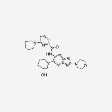 O=C(Nc1cc2sc(N3CCOCC3)nc2nc1N1CCC[C@@H](O)C1)c1cccc(N2CCCCC2)n1